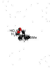 COc1ccc(S(=O)(=O)N(CC(C)C)C[C@@H](O)[C@H](Cc2ccc(NC[C@@H]3CCCC[C@@H]3c3sc4c(c3C(=O)O)CC(C)(C)CC4)cc2)NC(=O)O[C@H]2CO[C@@]3(C)OCC[C@@H]23)cc1